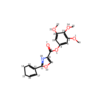 COc1cc(OC(=O)c2coc(C3=CCCC=C3)n2)cc(OC)c1OC